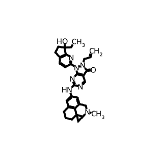 C=CCn1c(=O)c2cnc(Nc3cc4c5c(c3)CN(C)C3CC53CCC4)nc2n1-c1ccc2c(n1)C(O)(CC)CC2